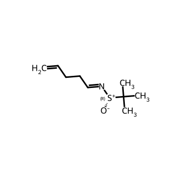 C=CCCC=N[S@@+]([O-])C(C)(C)C